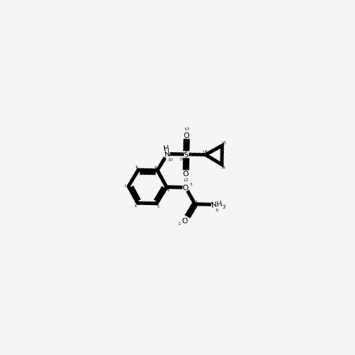 NC(=O)Oc1ccccc1NS(=O)(=O)C1CC1